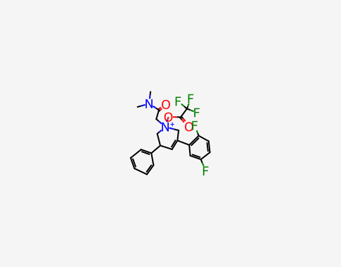 CN(C)C(=O)C[N+]1(OC(=O)C(F)(F)F)CC(c2cc(F)ccc2F)=CC(c2ccccc2)C1